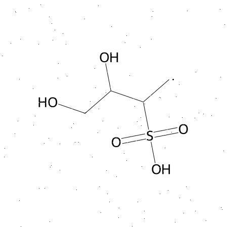 [CH2]C(C(O)CO)S(=O)(=O)O